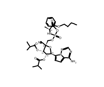 CCCCOC(=O)[C@H](C)NP(=O)(OC[C@@]1(C#N)O[C@@H](c2ccc3c(N)ncnn23)[C@H](OC(=O)C(C)C)[C@@H]1OC(=O)C(C)C)Oc1ccccc1